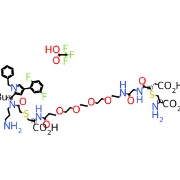 CC(C)(C)[C@H](c1cc(-c2cc(F)ccc2F)cn1Cc1ccccc1)N(CCCN)C(=O)CSC[C@H](NC(=O)CCOCCOCCOCCOCCNC(=O)CNC(=O)[C@H](CC(=O)O)SC[C@H](N)C(=O)O)C(=O)O.O=C(O)C(F)(F)F